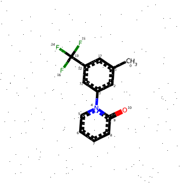 Cc1cc(-n2ccccc2=O)cc(C(F)(F)F)c1